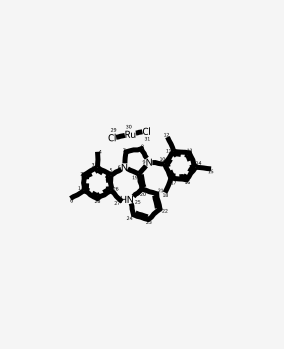 Cc1cc(C)c(N2CCN(c3c(C)cc(C)cc3C)C2=C2C=CC=CN2)c(C)c1.[Cl][Ru][Cl]